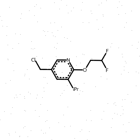 CC(C)c1cc(CCl)cnc1OCC(F)F